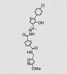 COc1cc(CNC(=O)c2ccc(C(=O)N/N=C(\C)c3csc(-c4ccc(Cl)cc4)c3O)s2)on1